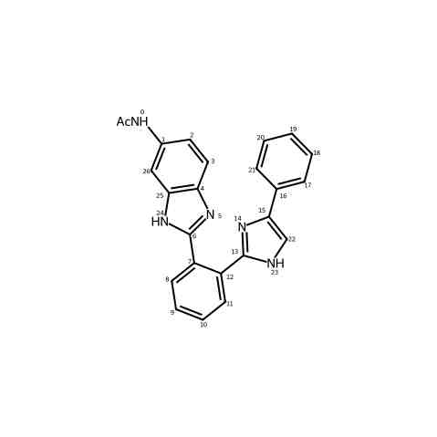 CC(=O)Nc1ccc2nc(-c3ccccc3-c3nc(-c4ccccc4)c[nH]3)[nH]c2c1